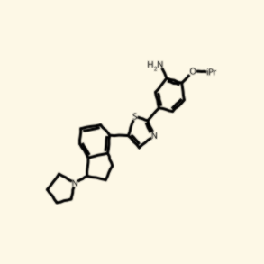 CC(C)Oc1ccc(-c2ncc(-c3cccc4c3CCC4N3CCCC3)s2)cc1N